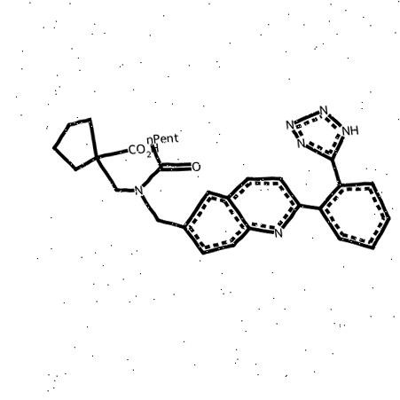 CCCCCC(=O)N(Cc1ccc2nc(-c3ccccc3-c3nnn[nH]3)ccc2c1)CC1(C(=O)O)CCCC1